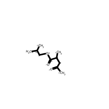 CC(=O)CC(C)C(=O)OCC(C)C